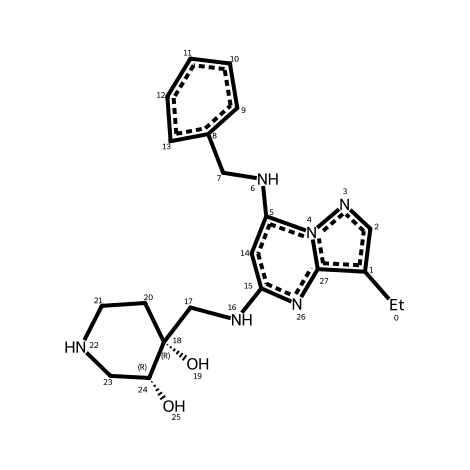 CCc1cnn2c(NCc3ccccc3)cc(NC[C@]3(O)CCNC[C@H]3O)nc12